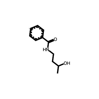 CC(O)CCNC(=O)c1cc[c]cc1